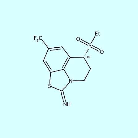 CCS(=O)(=O)[C@@H]1CCn2c(=N)sc3cc(C(F)(F)F)cc1c32